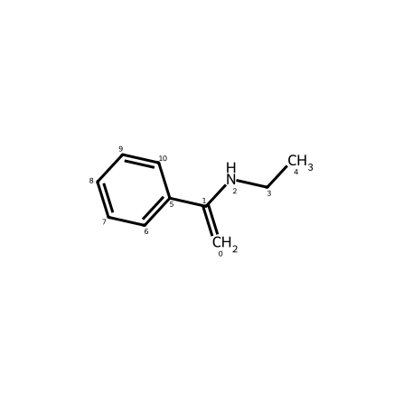 C=C(NCC)c1ccccc1